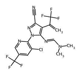 C=C(c1c(C#N)nn(-c2ncc(C(F)(F)F)cc2Cl)c1N=CN(C)C)C(F)(F)F